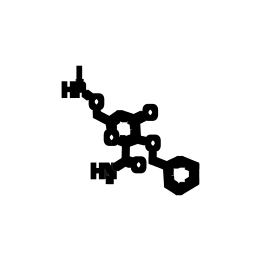 CNC(=O)c1oc(COPI)cc(=O)c1OCc1ccccc1